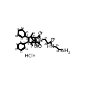 CC12C(=O)C(C)(C(c3ccccc3)=C1c1ccccc1)C1(Br)C(=O)N(CCC(=O)NCCN)C(=O)C21.Cl